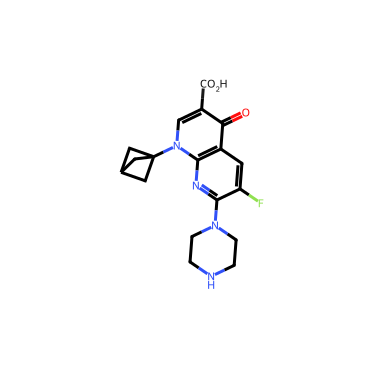 O=C(O)c1cn(C23CC(C2)C3)c2nc(N3CCNCC3)c(F)cc2c1=O